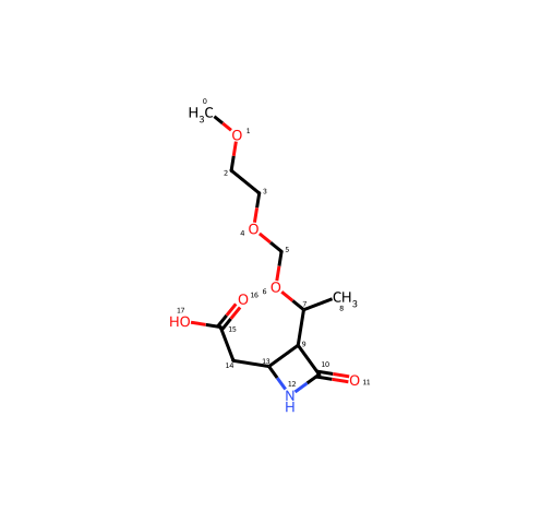 COCCOCOC(C)C1C(=O)NC1CC(=O)O